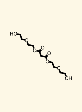 O=C(CC(=O)OCCOCCO)OCCOCCO